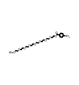 COCCOCCOCCOCCOCCOCCOCCOCCOC(=O)c1ccc(N)cc1